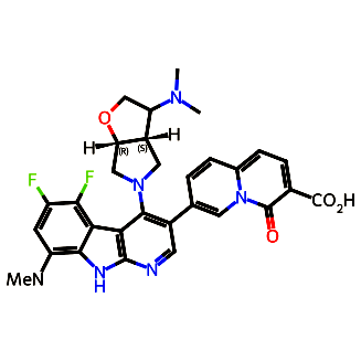 CNc1cc(F)c(F)c2c1[nH]c1ncc(-c3ccc4ccc(C(=O)O)c(=O)n4c3)c(N3C[C@@H]4OCC(N(C)C)[C@@H]4C3)c12